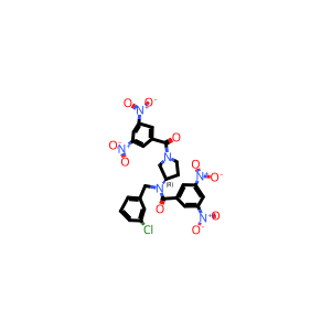 O=C(c1cc([N+](=O)[O-])cc([N+](=O)[O-])c1)N1CC[C@@H](N(Cc2cccc(Cl)c2)C(=O)c2cc([N+](=O)[O-])cc([N+](=O)[O-])c2)C1